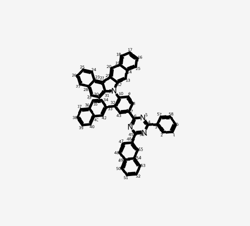 c1ccc(-c2nc(-c3ccc(-n4c5cc6ccccc6cc5c5c6ccccc6ccc54)c(-c4ccc5ccccc5c4)c3)nc(-c3ccc4ccccc4c3)n2)cc1